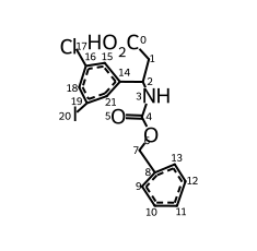 O=C(O)CC(NC(=O)OCc1ccccc1)c1cc(Cl)cc(I)c1